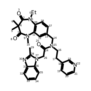 CCN1C(=O)C(C)(C)C(=O)N(C)c2cc(CN(CCc3cccnc3)C(=O)Cn3c(C)nc4ccccc43)ccc21